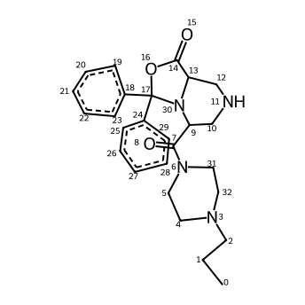 CCCN1CCN(C(=O)C2CNCC3C(=O)OC(c4ccccc4)(c4ccccc4)N32)CC1